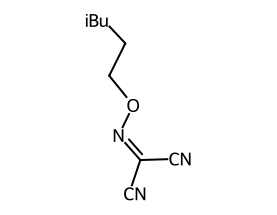 CCC(C)CCON=C(C#N)C#N